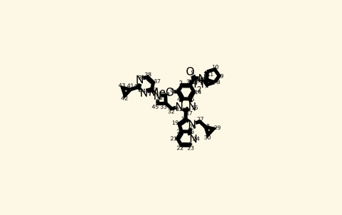 COc1cc(C(=O)N2CC3CCC2[C@@H]3N)cc2nc(-c3cc4cccnc4n3CC3CC3)n(CC3CN(c4ccnc(C5CC5)n4)C3)c12